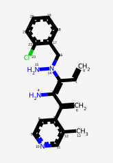 C=C/C(=C(/N)C(=C)c1ccncc1C)N(N)Cc1ccccc1Cl